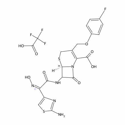 Nc1nc(/C(=N/O)C(=O)NC2C(=O)N3C(C(=O)O)=C(COc4ccc(F)cc4)CS[C@H]23)cs1.O=C(O)C(F)(F)F